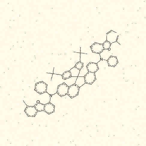 C=C(C)c1oc2c(N(c3ccccc3)c3ccc4c5c(ccc4c3)-c3ccc4cc(N(c6ccccc6)c6cccc7c6oc6c(C)cccc67)ccc4c3C53c4ccc(C(C)(C)C)cc4-c4cc(C(C)(C)C)ccc43)cccc2c1/C=C\C